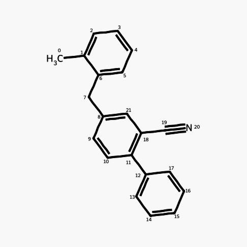 Cc1ccccc1Cc1ccc(-c2ccccc2)c(C#N)c1